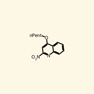 CCCCCOc1cc([N+](=O)[O-])nc2ccccc12